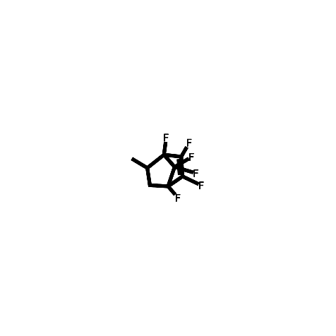 CC1CC2(F)C(F)=C(F)C1(F)C2(F)F